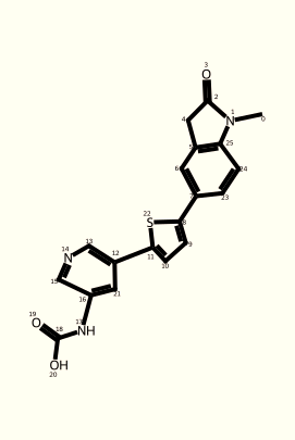 CN1C(=O)Cc2cc(-c3ccc(-c4cncc(NC(=O)O)c4)s3)ccc21